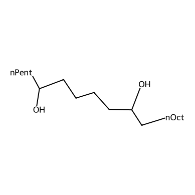 CCCCCCCCCC(O)CCCCC(O)CCCCC